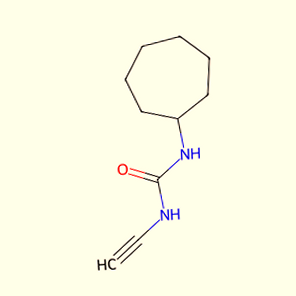 C#CNC(=O)NC1CCCCCC1